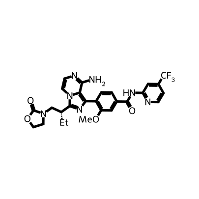 CC[C@H](CN1CCOC1=O)c1nc(-c2ccc(C(=O)Nc3cc(C(F)(F)F)ccn3)cc2OC)c2c(N)nccn12